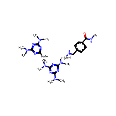 CN(C)c1nc(N(C)C)nc(N(C)C)n1.CNNCc1ccc(C(=O)NC(C)C)cc1.CNc1nc(N(C)C)nc(N(C)C)n1